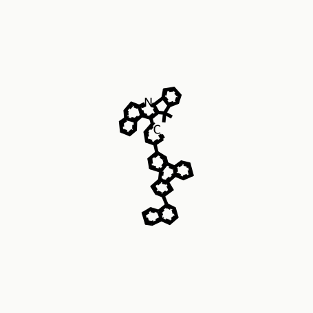 CC1(C)c2ccccc2-c2nc3ccc4ccccc4c3c(-c3ccc(-c4ccc5c6ccc(-c7cccc8ccccc78)cc6c6ccccc6c5c4)cc3)c21